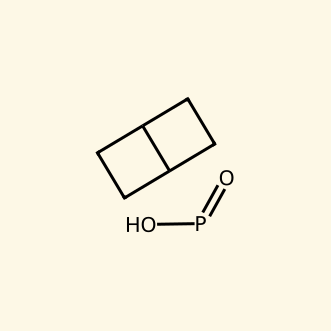 C1CC2CCC12.O=PO